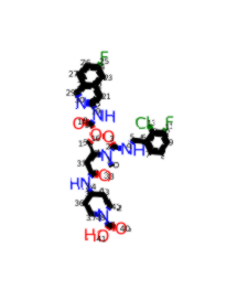 CN(C(=O)NCc1cccc(F)c1Cl)[C@H](COC(=O)Nc1cc2cc(F)ccc2cn1)CC(=O)NC1CCN(C(=O)O)CC1